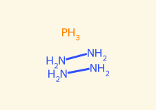 NN.NN.P